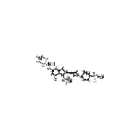 CN1CCC(NCc2cc(F)c3c(c2)cc(C#CCNc2ccc(C(C)(C)C#N)nc2)n3CC(F)(F)F)CC1